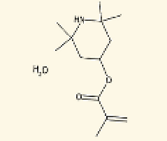 C=C(C)C(=O)OC1CC(C)(C)NC(C)(C)C1.O